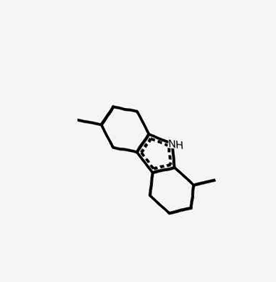 CC1CCc2[nH]c3c(c2C1)CCCC3C